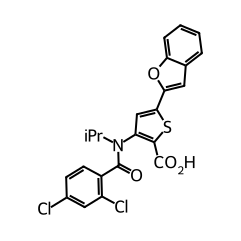 CC(C)N(C(=O)c1ccc(Cl)cc1Cl)c1cc(-c2cc3ccccc3o2)sc1C(=O)O